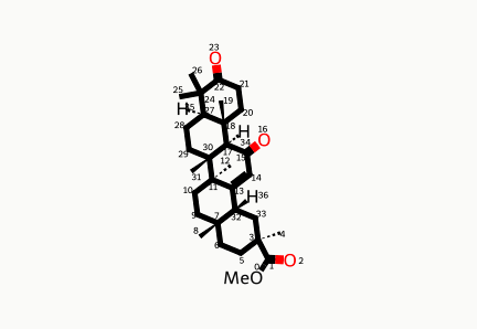 COC(=O)[C@@]1(C)CC[C@]2(C)CC[C@]3(C)C(=CC(=O)[C@@H]4[C@@]5(C)CCC(=O)C(C)(C)[C@@H]5CC[C@]43C)[C@@H]2C1